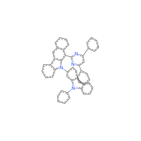 c1ccc(-c2cc(-c3ccccc3)nc(-c3c4ccccc4cc4c5ccccc5n(-c5ccc6c7ccccc7n(-c7ccccc7)c6c5)c34)n2)cc1